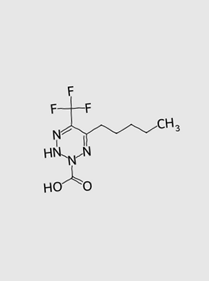 CCCCCC1=NN(C(=O)O)NN=C1C(F)(F)F